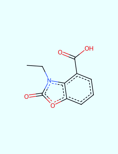 CCn1c(=O)oc2cccc(C(=O)O)c21